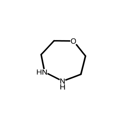 C1COCCNN1